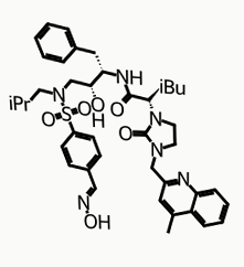 CC[C@H](C)[C@@H](C(=O)N[C@@H](Cc1ccccc1)[C@H](O)CN(CC(C)C)S(=O)(=O)c1ccc(/C=N/O)cc1)N1CCN(Cc2cc(C)c3ccccc3n2)C1=O